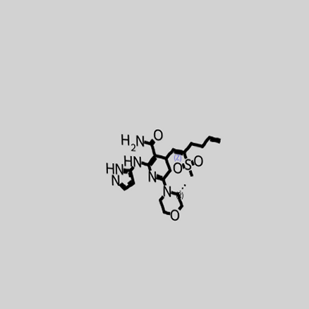 C=CCC/C(=C/C1CC(N2CCOC[C@H]2C)=NC(Nc2ccn[nH]2)=C1C(N)=O)S(C)(=O)=O